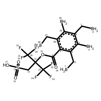 BCc1c(B)c(CB)c(C(=O)OC(CS(=O)(=O)O)(C(F)(F)F)C(F)(F)F)c(CB)c1B